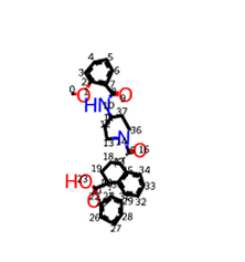 COc1ccccc1C(=O)NC1CCN(C(=O)[C@H]2CC[C@@](C(=O)O)(c3ccccc3)c3ccccc32)CC1